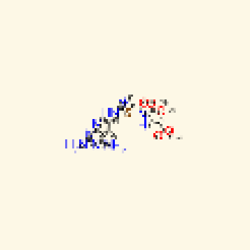 CCOC(=O)CCC(NC(=O)c1cnc(NCc2cnc3nc(N)nc(N)c3c2C)s1)C(=O)OCC